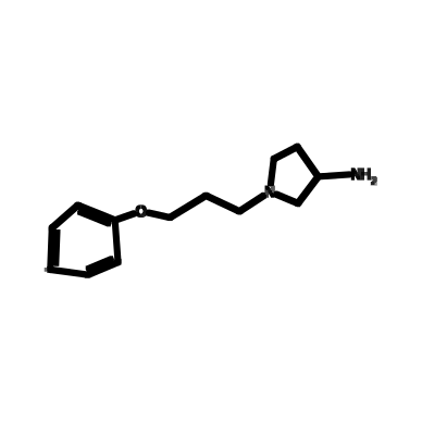 NC1CCN(CCCOc2cc[c]cc2)C1